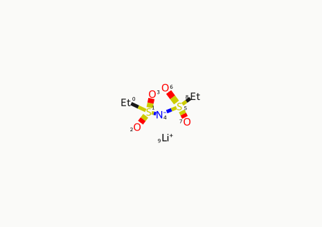 CCS(=O)(=O)[N-]S(=O)(=O)CC.[Li+]